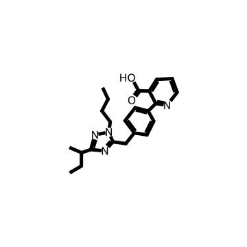 CCCCn1nc(C(C)CC)nc1Cc1ccc(-c2ncccc2C(=O)O)cc1